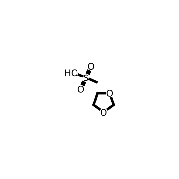 C1COCO1.CS(=O)(=O)O